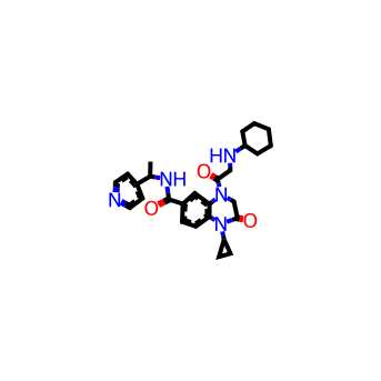 CC(NC(=O)c1ccc2c(c1)N(C(=O)CNC1CCCCC1)CC(=O)N2C1CC1)c1ccncc1